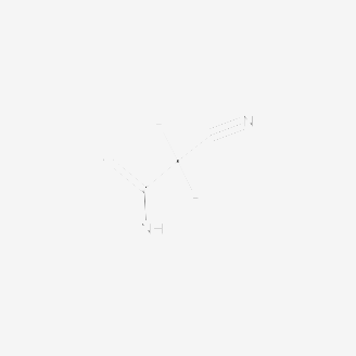 N#CC(F)(F)C(N)=O